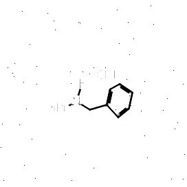 CC(C)N(F)Cc1ccccc1.Cl